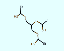 CCC(S)SCC(CSC(S)CC)SC(S)CC